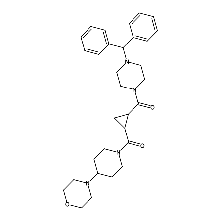 O=C(C1CC1C(=O)N1CCN(C(c2ccccc2)c2ccccc2)CC1)N1CCC(N2CCOCC2)CC1